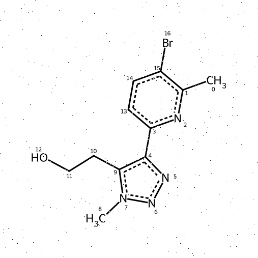 Cc1nc(-c2nnn(C)c2CCO)ccc1Br